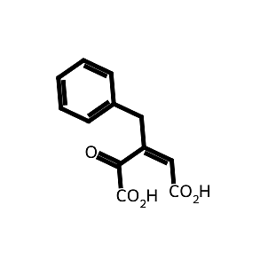 O=C(O)C=C(Cc1ccccc1)C(=O)C(=O)O